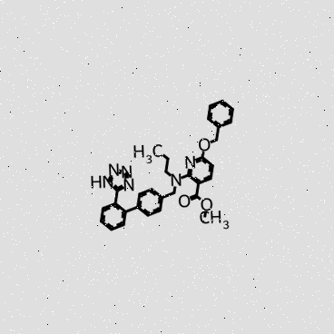 CCCN(Cc1ccc(-c2ccccc2-c2nnn[nH]2)cc1)c1nc(OCc2ccccc2)ccc1C(=O)OC